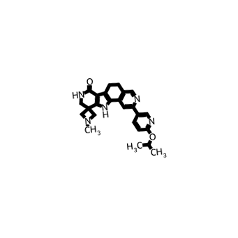 CC(C)Oc1ccc(-c2cc3c(cn2)CCc2c-3[nH]c3c2C(=O)NCC32CN(C)C2)cn1